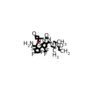 C=CC(=O)N1[C@H](C)CN(c2nc(=O)n3c4c(c(-c5ccc(F)c6sc(N)c(C#N)c56)c(C(F)(F)F)cc24)SCC2(CC(=O)C2)C3)C[C@@H]1C